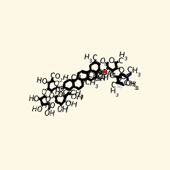 C/C=C(/C)C(=O)OC1C(O)[C@H](O[C@@H]2[C@H](C)CC3C4=CCC5[C@@]6(C)CC[C@H](O[C@@H]7OC(C(=O)O)[C@@H](O)C(O[C@@H]8O[C@@H](CO)C(O)C8O)C7O[C@@H]7OC(CO)[C@H](O)C(O)C7O)C(C)(C)C6CC[C@@]5(C)[C@]4(C)C[C@@H](O)[C@@]3(CO)[C@H]2OC(C)=O)OC(C)[C@@H]1OC(=O)/C(C)=C\C